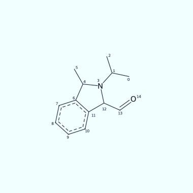 CC(C)N1C(C)c2ccccc2C1C=O